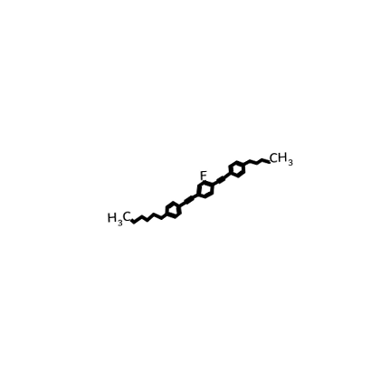 CCCCCCc1ccc(C#Cc2ccc(C#Cc3ccc(CCCCC)cc3)c(F)c2)cc1